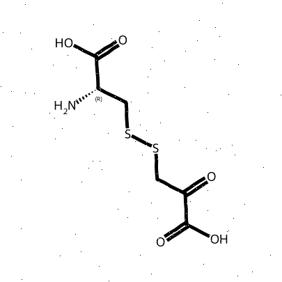 N[C@@H](CSSCC(=O)C(=O)O)C(=O)O